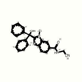 CCn1c(C(O)(c2ccccc2)c2ccccc2)nc2ccc(C(=O)NCC#N)cc21